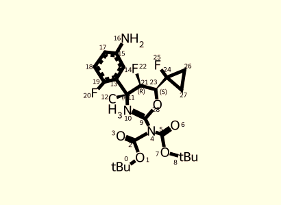 CC(C)(C)OC(=O)N(C(=O)OC(C)(C)C)C1=N[C@](C)(c2cc(N)ccc2F)[C@@H](F)[C@@H](C2(F)CC2)O1